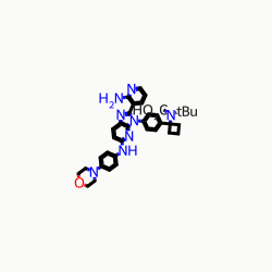 CC(C)(C)N(C(=O)O)C1(c2ccc(-n3c(-c4cccnc4N)nc4ccc(Nc5ccc(N6CCOCC6)cc5)nc43)cc2)CCC1